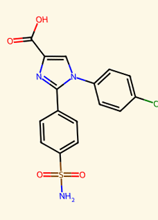 NS(=O)(=O)c1ccc(-c2nc(C(=O)O)cn2-c2ccc(Cl)cc2)cc1